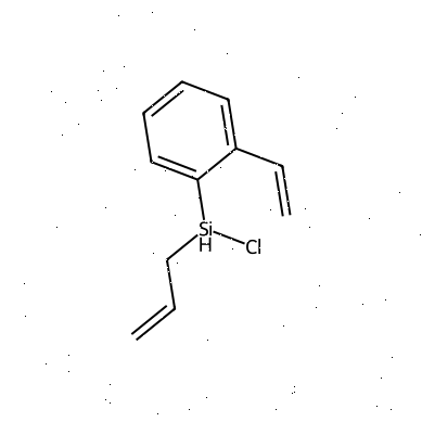 C=CC[SiH](Cl)c1ccccc1C=C